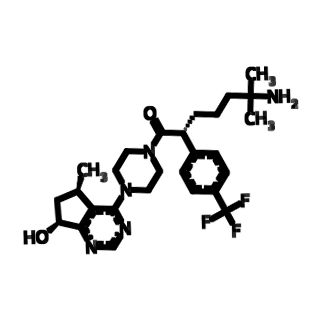 C[C@@H]1C[C@H](O)c2ncnc(N3CCN(C(=O)[C@H](CCCC(C)(C)N)c4ccc(C(F)(F)F)cc4)CC3)c21